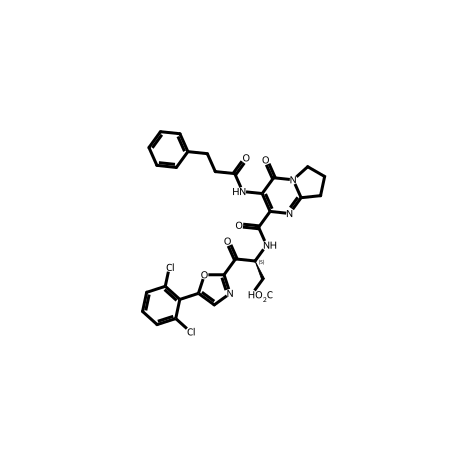 O=C(O)C[C@H](NC(=O)c1nc2n(c(=O)c1NC(=O)CCc1ccccc1)CCC2)C(=O)c1ncc(-c2c(Cl)cccc2Cl)o1